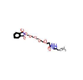 CCCCNC(=O)CCOCCOCCOCCOCCON1C(=O)c2ccccc2C1=O